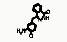 Nc1cc(Cc2n[nH]c(=O)c3ccccc23)ccc1Cl